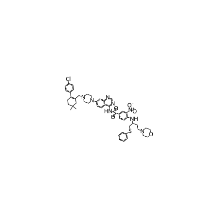 CC1(C)CCC(c2ccc(Cl)cc2)=C(CN2CCN(c3ccc4c(NS(=O)(=O)c5ccc(NC(CCN6CCOCC6)CSc6ccccc6)c([N+](=O)[O-])c5)ncnc4c3)CC2)C1